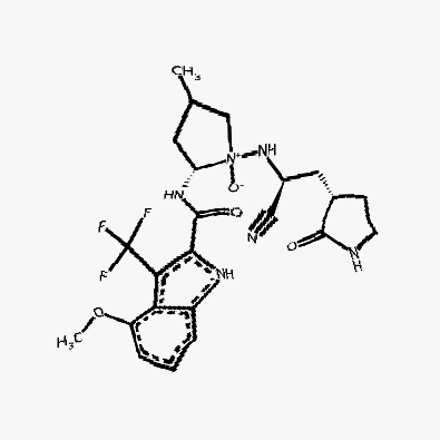 COc1cccc2[nH]c(C(=O)N[C@@H]3CC(C)C[N+]3([O-])N[C@H](C#N)C[C@@H]3CCNC3=O)c(C(F)(F)F)c12